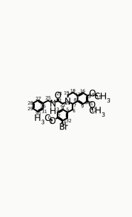 COc1ccc(CC2c3cc(OC)c(OC)cc3CCN2CC(=O)NCc2ccccc2)cc1Br